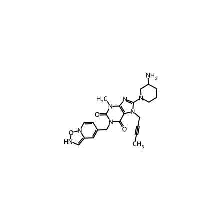 CC#CCn1c(N2CCCC(N)C2)nc2c1c(=O)n(CC1=CC3=CNON3C=C1)c(=O)n2C